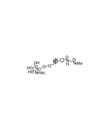 CNC(=O)CCNC(=O)c1ccc(-c2cn(CCOCCOCCOC3O[C@H](CO)[C@@H](O)[C@H](O)[C@H]3NC(C)=O)nn2)cc1